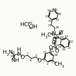 Cc1cc(OCCCONC(=N)N)cc(OS(=O)(=O)c2ccccc2S(=O)(=O)N(C)CCc2ccncc2)c1.Cl.Cl